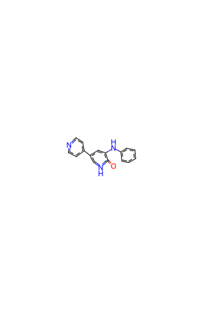 O=c1[nH]cc(-c2ccncc2)cc1Nc1ccccc1